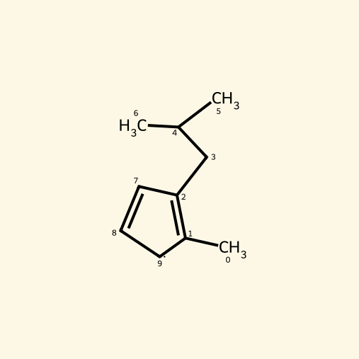 CC1=C(CC(C)C)C=C[CH]1